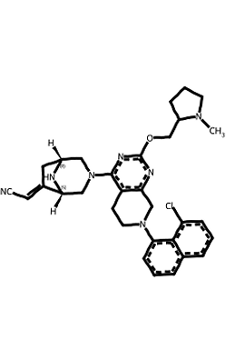 CN1CCCC1COc1nc2c(c(N3C[C@H]4CC(=CC#N)[C@@H](C3)N4)n1)CCN(c1cccc3cccc(Cl)c13)C2